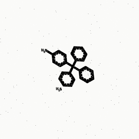 Nc1ccc(C(c2ccccc2)(c2ccccc2)c2ccccc2)cc1.S